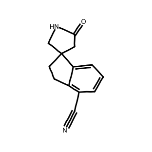 N#Cc1cccc2c1CCC21CNC(=O)C1